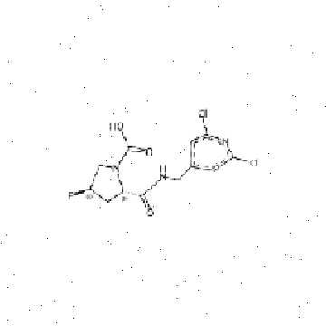 O=C(NCc1cc(Cl)nc(Cl)c1)[C@@H]1C[C@@H](F)CN1C(=O)O